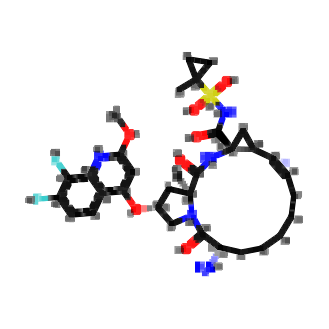 CC(C)Oc1cc(O[C@@H]2C[C@H]3C(=O)N[C@]4(C(=O)NS(=O)(=O)C5(C)CC5)CC4/C=C\CCCCC[C@H](N)C(=O)N3C2)c2ccc(F)c(F)c2n1